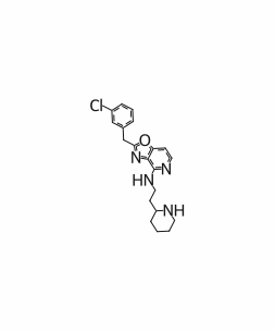 Clc1cccc(Cc2nc3c(NCCC4CCCCN4)nccc3o2)c1